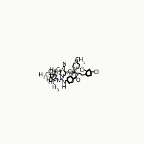 C[C@@H]1C(/N=C(/Nc2ccc3c(=O)n(CCc4ccc(Cl)cc4Cl)c(N4CCN(C)CC4)nc3c2)N2C[C@@H](C)N(C#N)[C@@H](C)C2)C[C@@H]2C[C@H]1C2(C)C